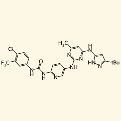 Cc1cc(Nc2cc(C(C)(C)C)n[nH]2)nc(Nc2ccc(NC(=O)Nc3ccc(Cl)c(C(F)(F)F)c3)nc2)n1